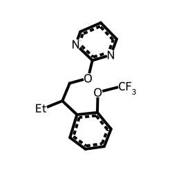 CCC(COc1ncccn1)c1ccccc1OC(F)(F)F